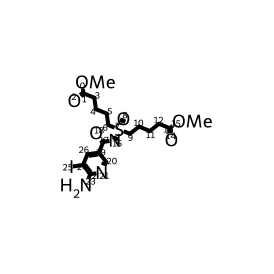 COC(=O)CCCCS(=O)(CCCCC(=O)OC)=NC(=O)c1cnc(N)c(I)c1